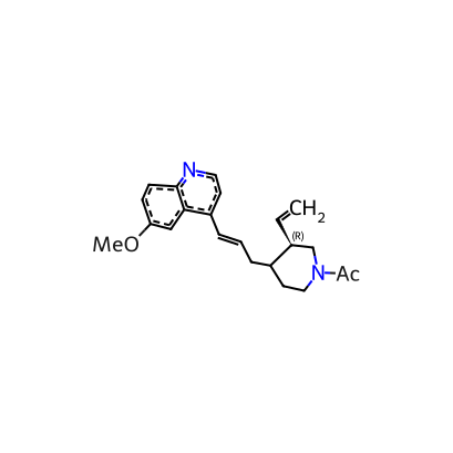 C=C[C@H]1CN(C(C)=O)CCC1CC=Cc1ccnc2ccc(OC)cc12